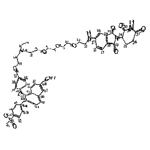 CCN(CCOCCOCCOCCNc1ccc2c(c1)C(=O)N(C1CCC(=O)NC1=O)C2=O)CCOc1ccc(Oc2c(-c3ccc(S(C)(=O)=O)cc3)ccc3cc(O)ccc23)cc1